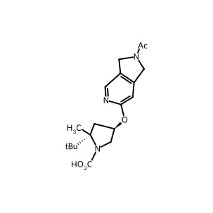 CC(=O)N1Cc2cnc(O[C@H]3CN(C(=O)O)[C@](C)(C(C)(C)C)C3)cc2C1